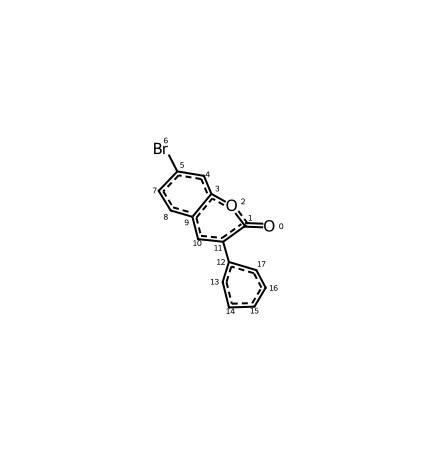 O=c1oc2cc(Br)ccc2cc1-c1ccccc1